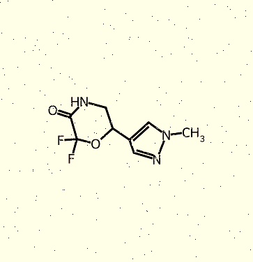 Cn1cc(C2CNC(=O)C(F)(F)O2)cn1